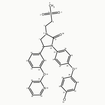 CS(=O)(=O)CCN1CC(c2cccc(Oc3ccccn3)c2)N(c2ccc(Oc3ccc(Cl)cc3)cc2)C1=O